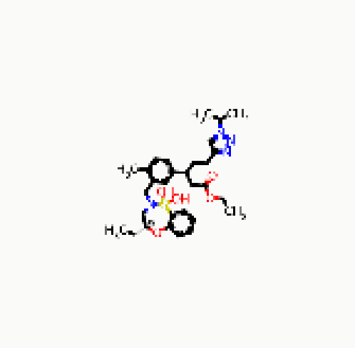 CCOC(=O)CC(CCc1cn(C(C)C)nn1)c1ccc(C)c(CN2C[C@@H](CC)Oc3ccccc3S2(O)O)c1